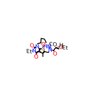 CCO/C=C/C(=O)N(Cc1sc2c(c1C)c(=O)n(CC)c(=O)n2CC1CCCO1)NC(=O)O